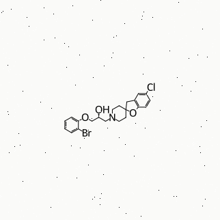 O[C@H](COc1ccccc1Br)CN1CCC2(CC1)Cc1cc(Cl)ccc1O2